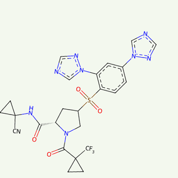 N#CC1(NC(=O)[C@@H]2CC(S(=O)(=O)c3ccc(-n4cncn4)cc3-n3cncn3)CN2C(=O)C2(C(F)(F)F)CC2)CC1